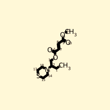 CCC(COC(=O)/C=C/C(=O)OC)N1CCSCC1